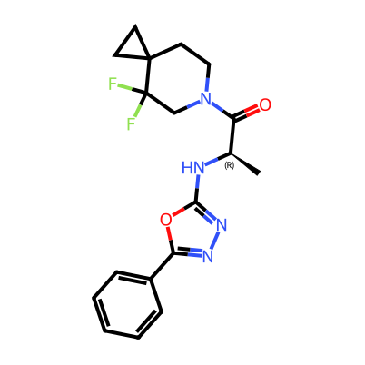 C[C@@H](Nc1nnc(-c2ccccc2)o1)C(=O)N1CCC2(CC2)C(F)(F)C1